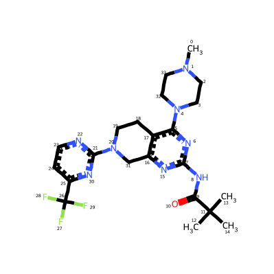 CN1CCN(c2nc(NC(=O)C(C)(C)C)nc3c2CCN(c2nccc(C(F)(F)F)n2)C3)CC1